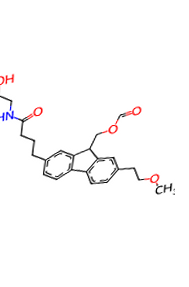 COCCc1ccc2c(c1)C(COC=O)c1cc(CCCC(=O)NCCO)ccc1-2